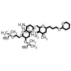 C=C1C(C[C@H]2C[C@@H](N)[C@@H]3O[C@H](CCO[Si](C)(C)C(C)(C)C)C(O[Si](C)(C)C(C)(C)C)C[C@@H]3O2)OC(CCCOC2CCCCO2)C[C@H]1C